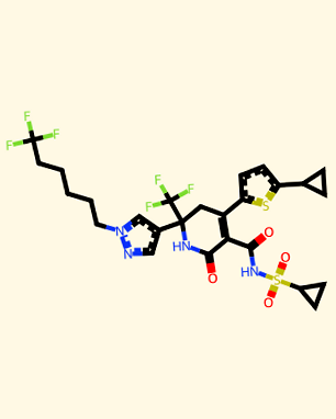 O=C1NC(c2cnn(CCCCCC(F)(F)F)c2)(C(F)(F)F)CC(c2ccc(C3CC3)s2)=C1C(=O)NS(=O)(=O)C1CC1